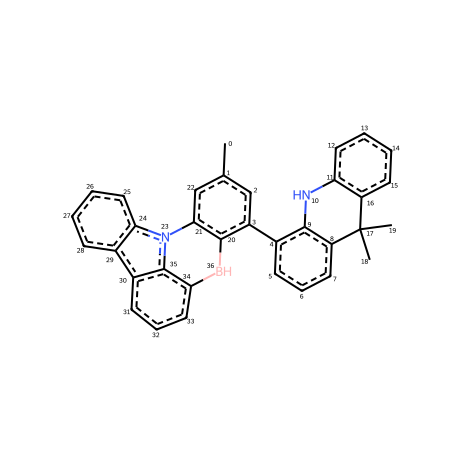 Cc1cc(-c2cccc3c2Nc2ccccc2C3(C)C)c2c(c1)-n1c3ccccc3c3cccc(c31)B2